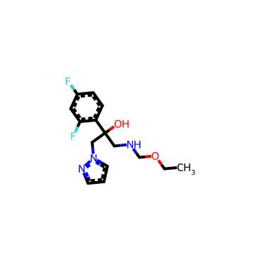 CCOCNCC(O)(Cn1cccn1)c1ccc(F)cc1F